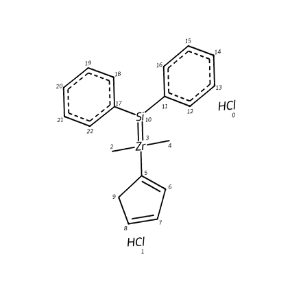 Cl.Cl.[CH3][Zr]([CH3])([C]1=CC=CC1)=[Si](c1ccccc1)c1ccccc1